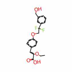 CCO/C(=C\c1ccc(OCC(F)(F)c2cccc(CO)c2)cc1)C(=O)O